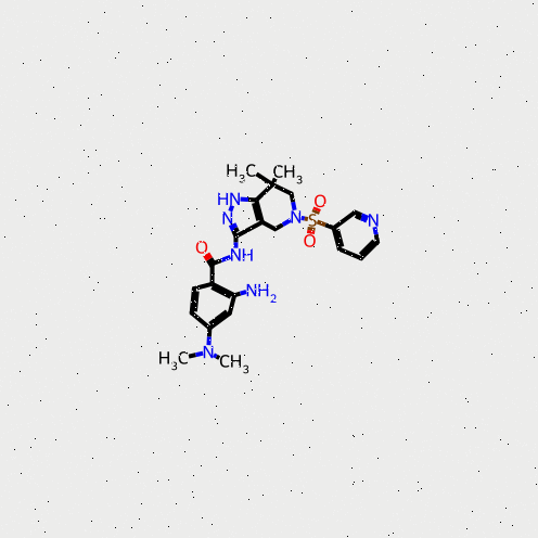 CN(C)c1ccc(C(=O)Nc2n[nH]c3c2CN(S(=O)(=O)c2cccnc2)CC3(C)C)c(N)c1